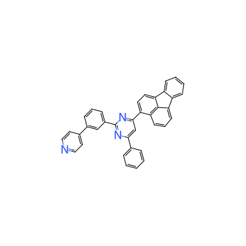 c1ccc(-c2cc(-c3ccc4c5c(cccc35)-c3ccccc3-4)nc(-c3cccc(-c4ccncc4)c3)n2)cc1